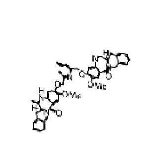 C=C/C=C(COc1cc2c(cc1OC)C(=O)N1Cc3ccccc3C[C@H]1C=N2)\N=C(/C)COc1cc2c(cc1OC)C(=O)N1Cc3ccccc3C[C@H]1C(C)N2